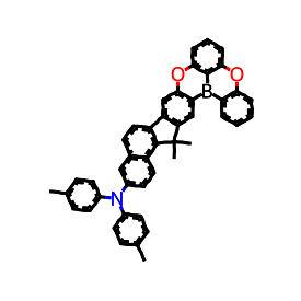 Cc1ccc(N(c2ccc(C)cc2)c2ccc3c4c(ccc3c2)-c2cc3c(cc2C4(C)C)B2c4ccccc4Oc4cccc(c42)O3)cc1